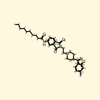 CCCCCCCCCC(=O)Nc1ccc2c(c1)C(=O)N(CCN1CCC(c3noc4cc(F)ccc34)CC1)C2=O